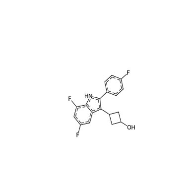 OC1CC(c2c(-c3ccc(F)cc3)[nH]c3c(F)cc(F)cc23)C1